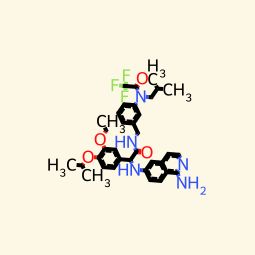 CCOc1cc(C(Nc2ccc3c(N)nccc3c2)C(=O)NCc2cccc(N(CC(C)C)C(=O)C(F)(F)F)c2)ccc1OC(C)C